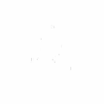 Cc1c(-c2ccccc2)n(-c2cccc(F)c2)c(=O)c2c(O)c(Sc3ccccc3Br)c(=O)oc12